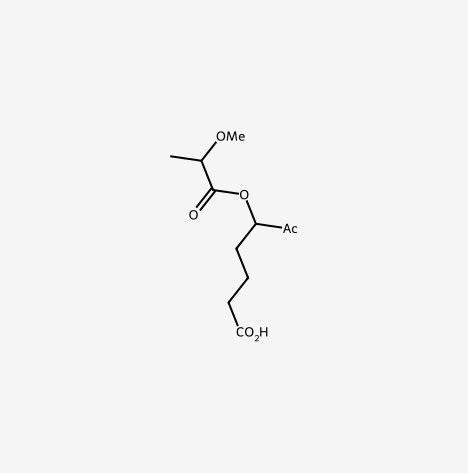 COC(C)C(=O)OC(CCCC(=O)O)C(C)=O